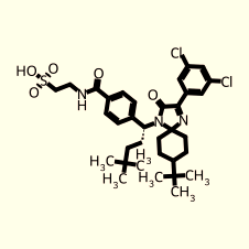 CC(C)(C)CC[C@H](c1ccc(C(=O)NCCS(=O)(=O)O)cc1)N1C(=O)C(c2cc(Cl)cc(Cl)c2)=NC12CCC(C(C)(C)C)CC2